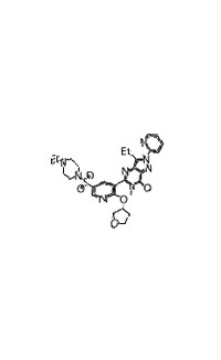 CCc1c2nc(-c3cc(S(=O)(=O)N4CCN(CC)CC4)cnc3O[C@@H]3CCOC3)n(C)c(=O)c2nn1-c1ccccn1